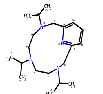 CC(C)N1CCN(C(C)C)Cc2cccc(n2)CN(C(C)C)CC1